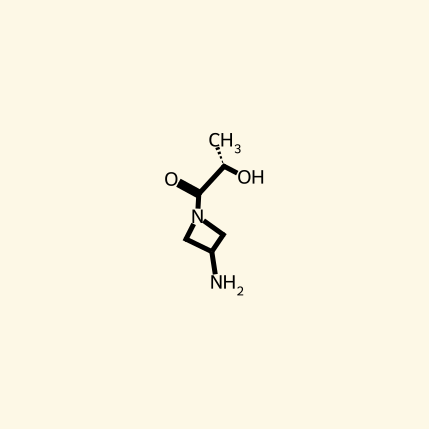 C[C@H](O)C(=O)N1CC(N)C1